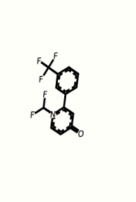 O=c1ccn(C(F)F)c(-c2cccc(C(F)(F)F)c2)c1